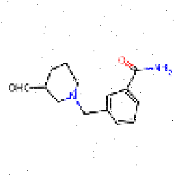 NC(=O)c1cccc(CN2CCCC(C=O)C2)c1